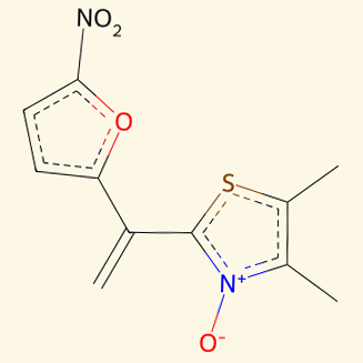 C=C(c1ccc([N+](=O)[O-])o1)c1sc(C)c(C)[n+]1[O-]